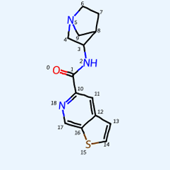 O=C(NC1CN2CCC1C2)c1cc2ccsc2cn1